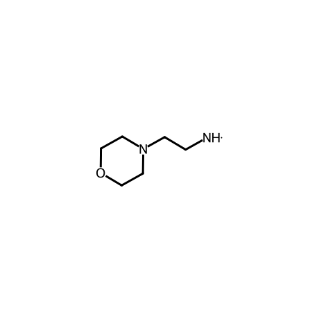 [NH]CCN1CCOCC1